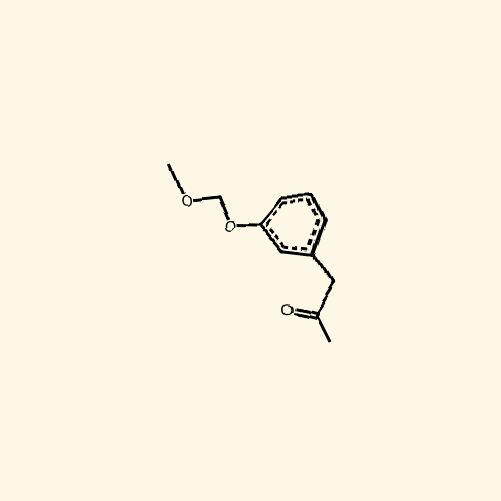 COCOc1cccc(CC(C)=O)c1